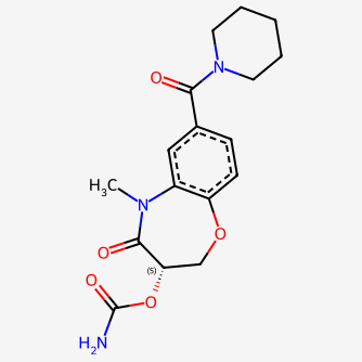 CN1C(=O)[C@@H](OC(N)=O)COc2ccc(C(=O)N3CCCCC3)cc21